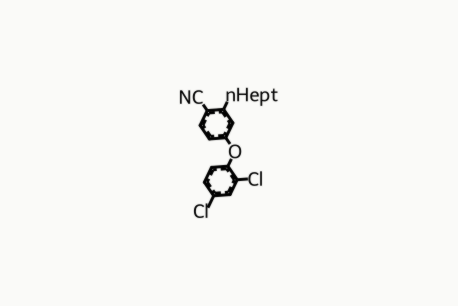 CCCCCCCc1cc(Oc2ccc(Cl)cc2Cl)ccc1C#N